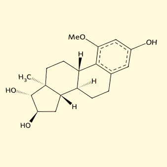 COc1cc(O)cc2c1[C@H]1CC[C@]3(C)[C@@H](O)[C@H](O)C[C@H]3[C@@H]1CC2